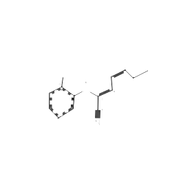 CC/C=C\C=C(\C#N)Oc1ccccc1I